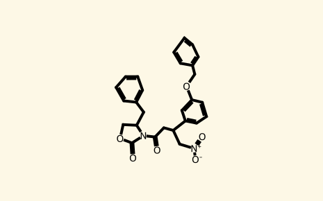 O=C(CC(C[N+](=O)[O-])c1cccc(OCc2ccccc2)c1)N1C(=O)OCC1Cc1ccccc1